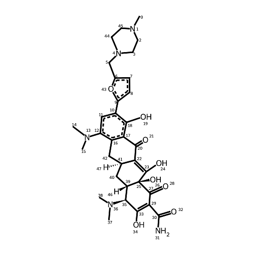 CN1CCN(Cc2ccc(-c3cc(N(C)C)c4c(c3O)C(=O)C3=C(O)[C@]5(O)C(=O)C(C(N)=O)=C(O)[C@@H](N(C)C)[C@@H]5C[C@H]3C4)o2)CC1